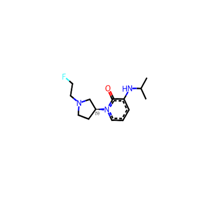 CC(C)Nc1cccn([C@H]2CCN(CCF)C2)c1=O